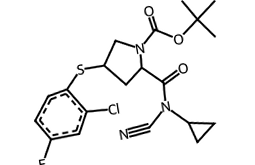 CC(C)(C)OC(=O)N1CC(Sc2ccc(F)cc2Cl)CC1C(=O)N(C#N)C1CC1